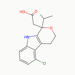 CC(C)C1(CC(=O)O)OCCc2c1[nH]c1cccc(Cl)c21